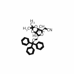 CC1(C)O[C@@H]2[C@@H](COC(c3ccccc3)(c3ccccc3)c3ccccc3)O[C@H](CC#N)[C@]2(C)O1